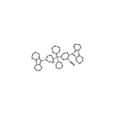 N#Cc1cc([Si](c2ccccc2)(c2ccccc2)c2ccc(-n3c4ccccc4c4ccccc43)cn2)ccc1-n1c2ccccc2c2ccccc21